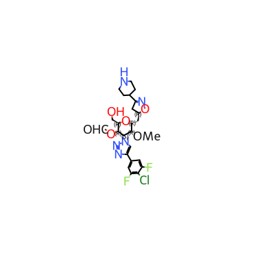 CO[C@@H]1[C@H](n2cc(-c3cc(F)c(Cl)c(F)c3)nn2)[C@@H](OC=O)[C@@H](CO)O[C@@H]1C[C@H]1CC(C2CCNCC2)=NO1